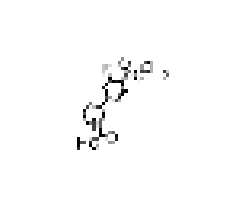 COC(=O)c1ccc(C2CCCN(C(=O)O)C2)cc1F